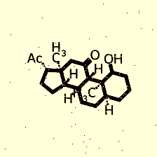 CC(=O)[C@H]1CC[C@H]2[C@@H]3CC[C@@H]4CCCC(O)[C@]4(C)[C@H]3C(=O)C[C@]12C